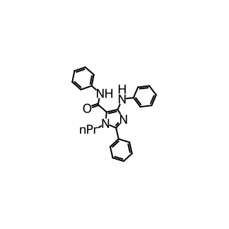 CCCn1c(-c2ccccc2)nc(Nc2ccccc2)c1C(=O)Nc1ccccc1